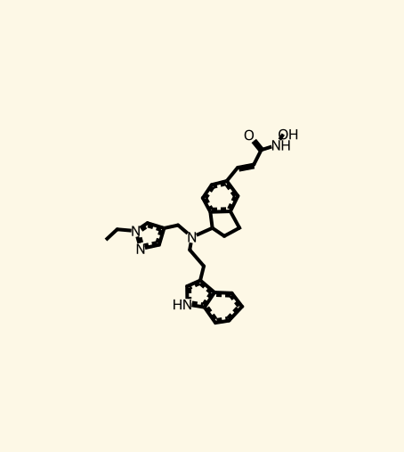 CCn1cc(CN(CCc2c[nH]c3ccccc23)C2CCc3cc(C=CC(=O)NO)ccc32)cn1